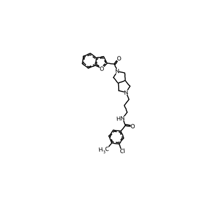 Cc1ccc(C(=O)NCCCN2CC3CN(C(=O)c4cc5ccccc5o4)CC3C2)cc1Cl